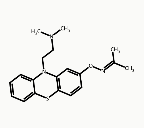 CC(C)=NOc1ccc2c(c1)N(CCN(C)C)c1ccccc1S2